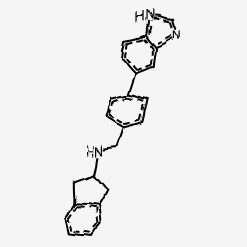 c1ccc2c(c1)CC(NCc1ccc(-c3ccc4[nH]cnc4c3)cc1)C2